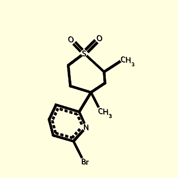 CC1CC(C)(c2cccc(Br)n2)CCS1(=O)=O